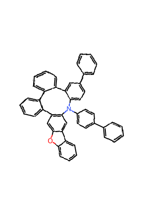 c1ccc(-c2ccc(-n3c4ccc(-c5ccccc5)cc4c4ccccc4c4ccccc4c4cc5oc6ccccc6c5cc43)cc2)cc1